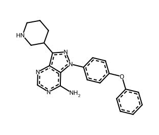 Nc1ncnc2c(C3CCCNC3)nn(-c3ccc(Oc4ccccc4)cc3)c12